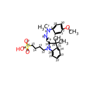 COc1ccc(N(C)N=C=C2N(CCCCS(=O)(=O)O)c3ccccc3C2(C)C)cc1